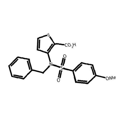 COc1ccc(S(=O)(=O)N(Cc2ccccc2)c2ccsc2C(=O)O)cc1